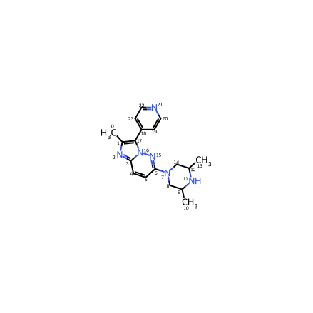 Cc1nc2ccc(N3CC(C)NC(C)C3)nn2c1-c1ccncc1